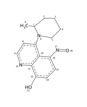 CC1CCCCN1c1ccnc2c(O)ccc(N=O)c12